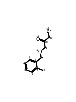 Cc1ccccc1COCC(=O)CBr